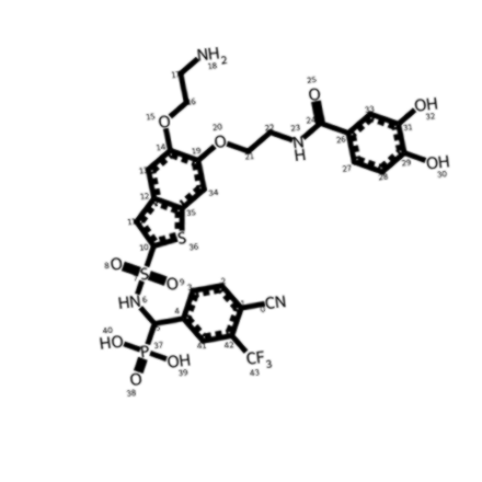 N#Cc1ccc(C(NS(=O)(=O)c2cc3cc(OCCN)c(OCCNC(=O)c4ccc(O)c(O)c4)cc3s2)P(=O)(O)O)cc1C(F)(F)F